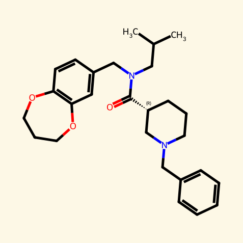 CC(C)CN(Cc1ccc2c(c1)OCCCO2)C(=O)[C@@H]1CCCN(Cc2ccccc2)C1